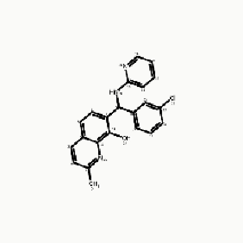 Cc1ccc2ccc(C(Nc3ccccn3)c3cccc(Cl)c3)c(O)c2n1